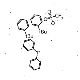 CC(C)(C)c1ccccc1.CC(C)(C)c1ccccc1.O=S(=O)([O-])C(F)(F)F.c1ccc([I+]c2ccccc2)cc1